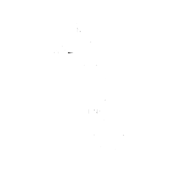 C[C@H](CCCNc1ccccc1)C[C@H](CN)C(=O)O